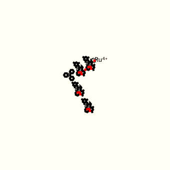 C1CCC(P(C2CCCCC2)C2CCCCC2)CC1.Cc1cc(C)c(N2CCN(c3c(C)cc(C)cc3C)C2=[C-]c2ccccc2)c(C)c1.Cc1cc(C)c(N2CCN(c3c(C)cc(C)cc3C)C2=[C-]c2ccccc2)c(C)c1.Cc1cc(C)c(N2CCN(c3c(C)cc(C)cc3C)C2=[C-]c2ccccc2)c(C)c1.Cc1cc(C)c(N2CCN(c3c(C)cc(C)cc3C)C2=[C-]c2ccccc2)c(C)c1.[Cl-].[Cl-].[Ru+4]